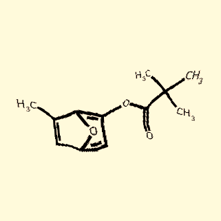 Cc1cc2cc(OC(=O)C(C)(C)C)c1o2